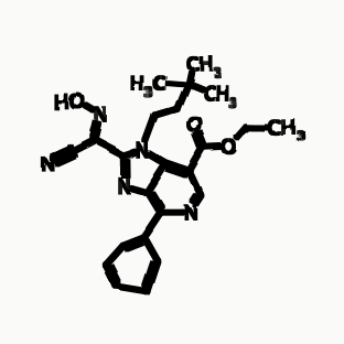 CCOC(=O)c1cnc(-c2ccccc2)c2nc(/C(C#N)=N/O)n(CCC(C)(C)C)c12